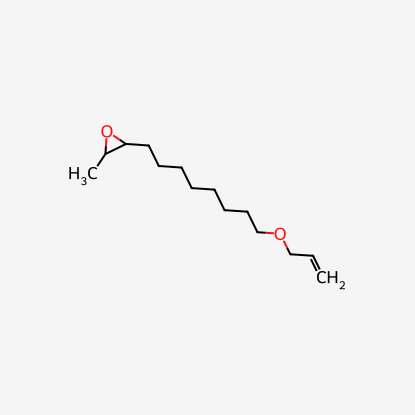 C=CCOCCCCCCCCC1OC1C